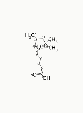 CC(CCCCCCC(=O)O)CC(C)(C)C